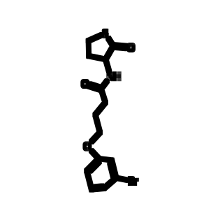 O=C(CCCOc1cccc(Br)c1)NC1CCSC1=O